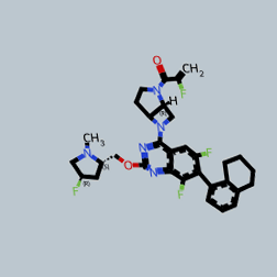 C=C(F)C(=O)N1CCC2[C@H]1CN2c1nc(OC[C@@H]2C[C@@H](F)CN2C)nc2c(F)c(-c3cccc4c3CCCC4)c(F)cc12